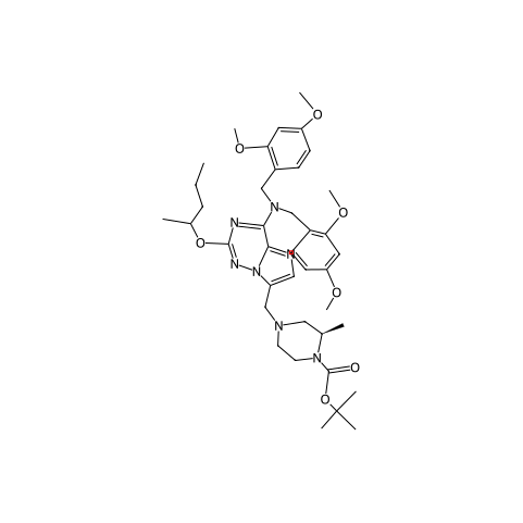 CCCC(C)Oc1nc(N(Cc2ccc(OC)cc2OC)Cc2ccc(OC)cc2OC)c2ncc(CN3CCN(C(=O)OC(C)(C)C)[C@H](C)C3)n2n1